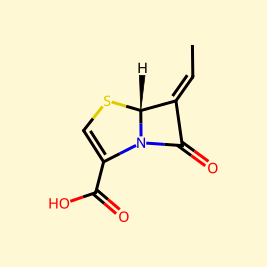 C/C=C1/C(=O)N2C(C(=O)O)=CS[C@H]12